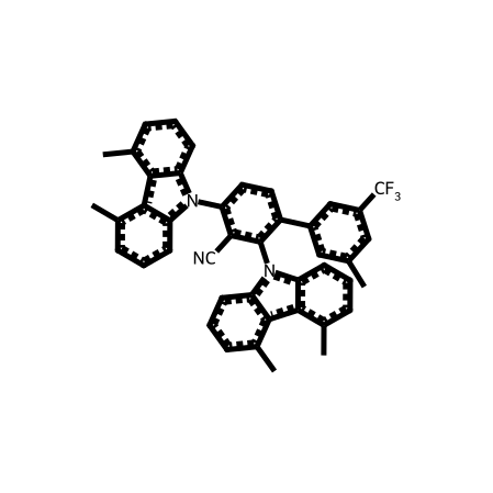 Cc1cc(-c2ccc(-n3c4cccc(C)c4c4c(C)cccc43)c(C#N)c2-n2c3cccc(C)c3c3c(C)cccc32)cc(C(F)(F)F)c1